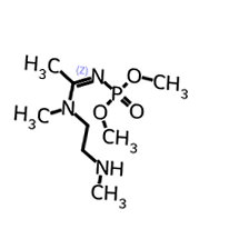 CNCCN(C)/C(C)=N\P(=O)(OC)OC